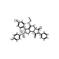 CCOC1=C2C(CN(S(=O)(=O)c3ccc(C)cc3)C2c2ccc(Cl)cc2)C2C(=O)N(c3ccccc3)C(=O)C2C1